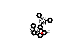 Fc1cc#cc(-c2cc(-c3nc(-c4ccccc4)nc(-c4ccccc4)n3)ccc2-n2c3c(c4ccc5sc6ccccc6c5c42)C=CCC3)c1